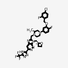 C[C@H]1CN(c2ccc(F)c(OCc3ccc(Cl)cc3F)c2)CCN1Cc1nc2cc(-c3nnc(C(F)(F)F)[nH]3)nnc2n1C[C@@H]1CCO1